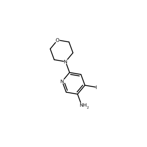 Nc1cnc(N2CCOCC2)cc1I